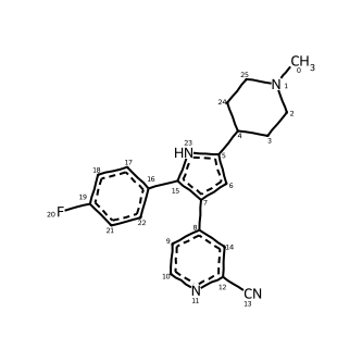 CN1CCC(c2cc(-c3ccnc(C#N)c3)c(-c3ccc(F)cc3)[nH]2)CC1